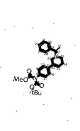 COC(=O)N(C(=O)OC(C)(C)C)c1ccc(C2=CCCN([C@H](C)c3ccccc3)C2)cc1